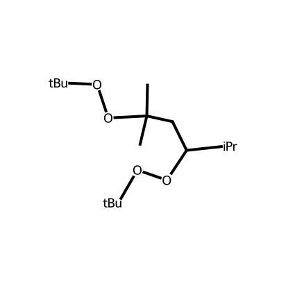 CC(C)C(CC(C)(C)OOC(C)(C)C)OOC(C)(C)C